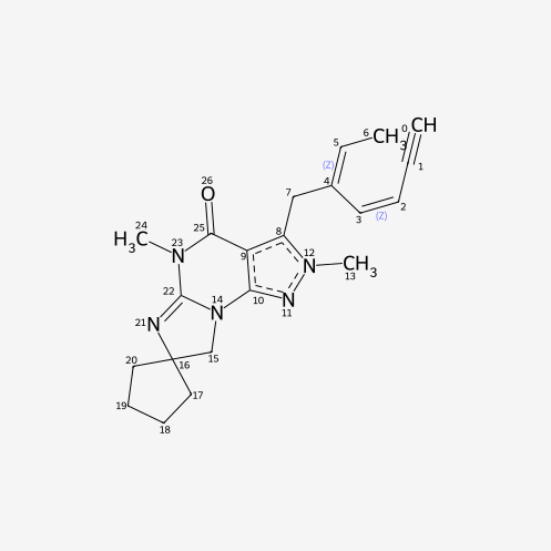 C#C/C=C\C(=C/C)Cc1c2c(nn1C)N1CC3(CCCC3)N=C1N(C)C2=O